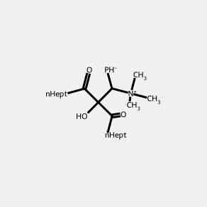 CCCCCCCC(=O)C(O)(C(=O)CCCCCCC)C([PH-])[N+](C)(C)C